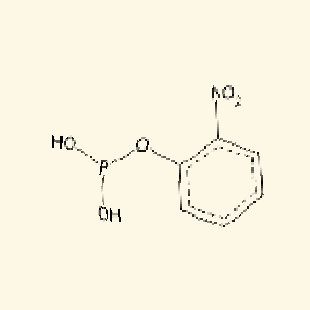 O=[N+]([O-])c1ccccc1OP(O)O